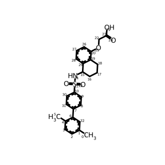 Cc1ccc(C)c(-c2ccc(S(=O)(=O)NC3CCCc4c(OCC(=O)O)cccc43)cc2)c1